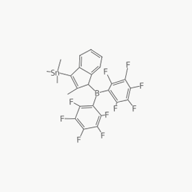 CC1=[C]([Sn]([CH3])([CH3])[CH3])c2ccccc2C1B(c1c(F)c(F)c(F)c(F)c1F)c1c(F)c(F)c(F)c(F)c1F